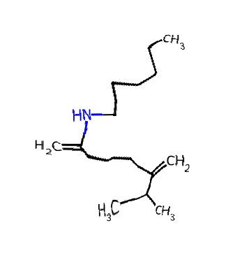 C=C(CCC(=C)C(C)C)NCCCCC